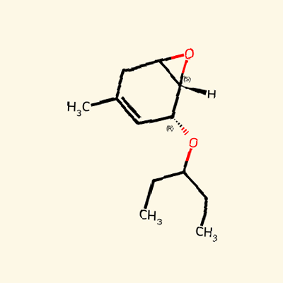 CCC(CC)O[C@@H]1C=C(C)CC2O[C@@H]21